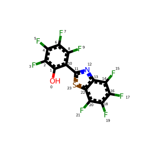 Oc1c(F)c(F)c(F)c(F)c1-c1nc2c(F)c(F)c(F)c(F)c2s1